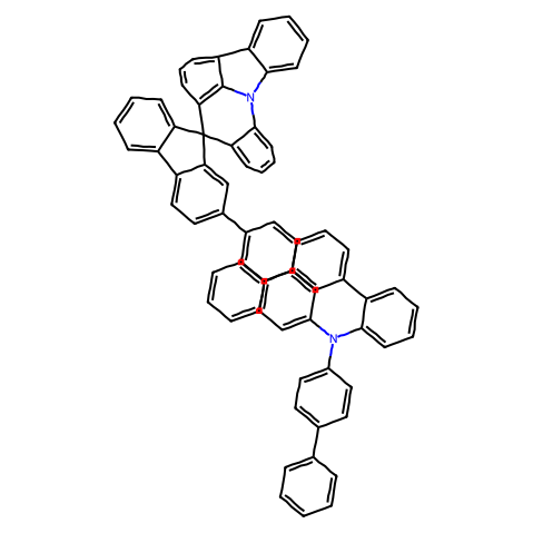 c1ccc(-c2ccc(N(c3ccc4cc(-c5ccc6c(c5)C5(c7ccccc7-6)c6ccccc6-n6c7ccccc7c7cccc5c76)ccc4c3)c3ccccc3-c3cccc(-c4ccccc4)c3)cc2)cc1